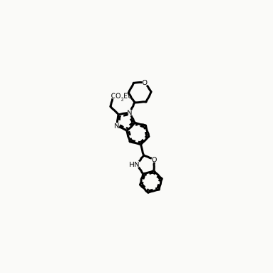 CCOC(=O)Cc1nc2cc(C3Nc4ccccc4O3)ccc2n1C1CCOCC1